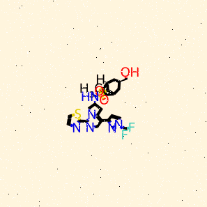 C[C@H]1CC2C[C@H](CO)C[C@H]1C2S(=O)(=O)N[C@H]1CC2=C(c3ccn(C(F)F)n3)CN=C(c3nccs3)N2C1